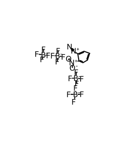 F[B-](F)(F)F.F[B-](F)(F)F.F[B-](F)(F)F.F[B-](F)(F)F.N#[N+]c1ccccc1[N+](=O)[O-]